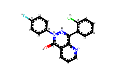 O=c1c2cccnc2c(-c2ccccc2Cl)nn1-c1ccc(F)cc1